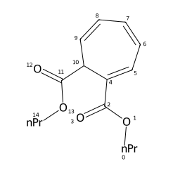 CCCOC(=O)C1=CC=CC=CC1C(=O)OCCC